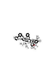 CC(C)CN(C[C@@H](O)[C@H](Cc1ccccc1)NC(=O)[C@H](C(C)C)N1CC(=O)N(Cc2cccc(-c3cnccn3)c2)C1=O)S(=O)(=O)c1ccc(Cl)c(N)c1